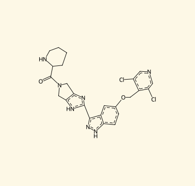 O=C(C1CCCCN1)N1Cc2nc(-c3n[nH]c4ccc(OCc5c(Cl)cncc5Cl)cc34)[nH]c2C1